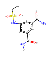 CCS(=O)(=O)Nc1cc(C(N)=O)cc(C(=O)NC)c1